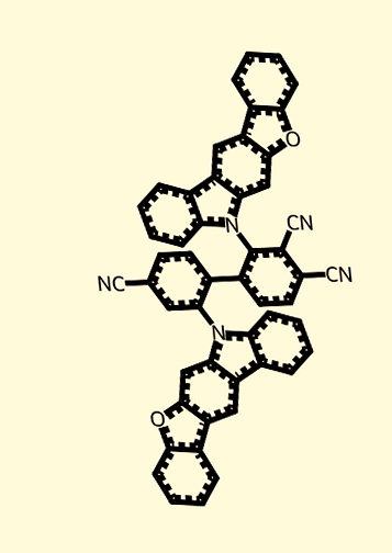 N#Cc1ccc(-c2ccc(C#N)c(C#N)c2-n2c3ccccc3c3cc4c(cc32)oc2ccccc24)c(-n2c3ccccc3c3cc4c(cc32)oc2ccccc24)c1